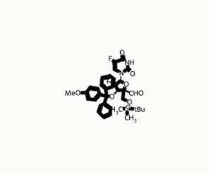 COc1ccc(C(O[C@H]2[C@H](F)[C@H](n3cc(F)c(=O)[nH]c3=O)O[C@]2(C=O)CO[Si](C)(C)C(C)(C)C)(c2ccccc2)c2ccccc2)cc1